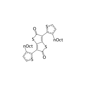 CCCCCCCCc1ccsc1C1=C2SC(=O)C(c3sccc3CCCCCCCC)=C2SC1=O